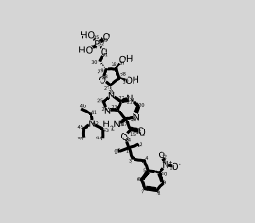 CC(C)(CCc1ccccc1[N+](=O)[O-])OC(=O)C1(N)N=CN=C2C1=NCN2[C@@H]1O[C@H](COP(=O)(O)O)[C@@H](O)[C@H]1O.CCN(CC)CC